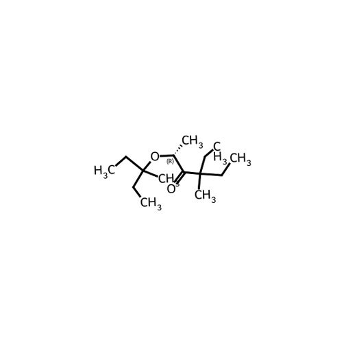 CCC(C)(CC)O[C@H](C)C(=O)C(C)(CC)CC